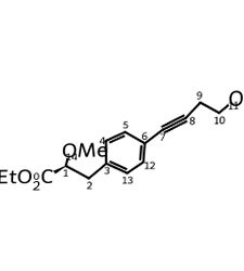 CCOC(=O)[C@H](Cc1ccc(C#CCCO)cc1)OC